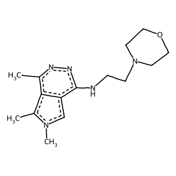 Cc1nnc(NCCN2CCOCC2)c2cn(C)c(C)c12